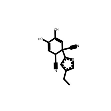 CCc1csc(C2(C#N)C=C(O)C(O)=CC2C#N)c1